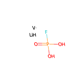 O=P(O)(O)F.[LiH].[V]